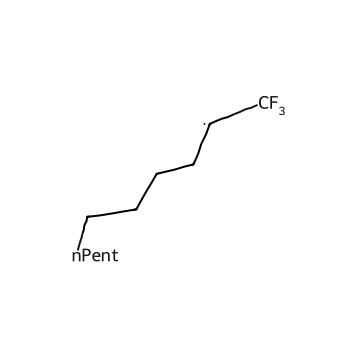 CCCCCCCCC[CH]C(F)(F)F